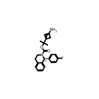 CC(C)(OC(=O)N1CCc2ccccc2[C@@H]1c1ccc(F)cc1)C12CC(N)(C1)C2